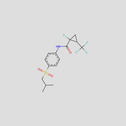 CC(C)CS(=O)(=O)c1ccc(NC(=O)C2(F)CC2C(F)(F)F)cc1